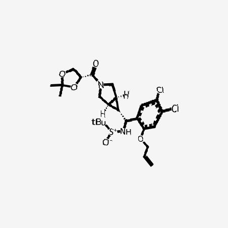 C=CCOc1cc(Cl)c(Cl)cc1C(N[S+]([O-])C(C)(C)C)[C@H]1[C@@H]2CN(C(=O)[C@H]3COC(C)(C)O3)C[C@@H]21